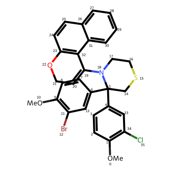 COc1ccc(C2(c3ccc(OC)c(Br)c3)CSCCN2C2=CCOc3ccc4ccccc4c32)cc1Cl